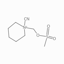 CS(=O)(=O)OC[N+]1(C#N)CCCCC1